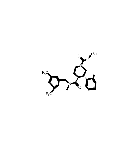 Cc1ccccc1[C@H]1CN(C(=O)OC(C)(C)C)CC[C@@H]1C(=O)N(C)Cc1cc(C(F)(F)F)cc(C(F)(F)F)c1